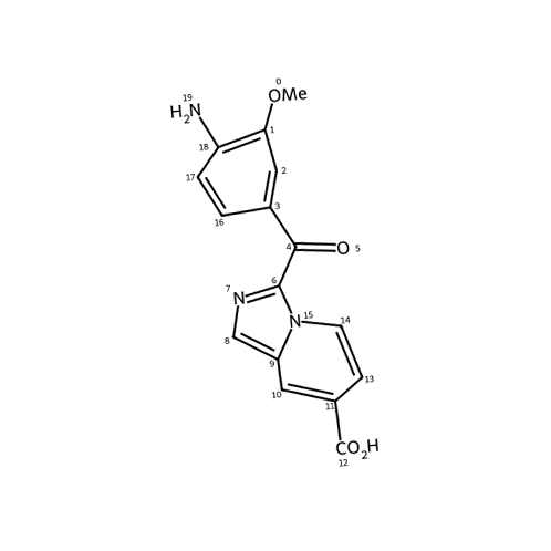 COc1cc(C(=O)c2ncc3cc(C(=O)O)ccn23)ccc1N